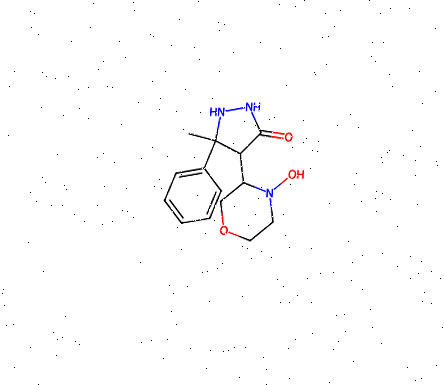 CC1(c2ccccc2)NNC(=O)C1C1COCCN1O